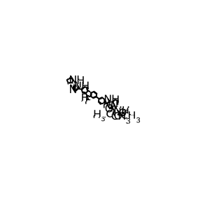 COC(=O)N[C@H](C(=O)N1CCC[C@H]1c1nc2ccc(-c3ccc4c(c3)C(F)(F)c3cc(-c5cnc([C@@H]6CCCN6)[nH]5)ccc3-4)cc2[nH]1)C(C)C